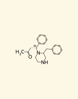 CC(=O)C[C@H](c1ccccc1)N1CCNCC1Cc1ccccc1